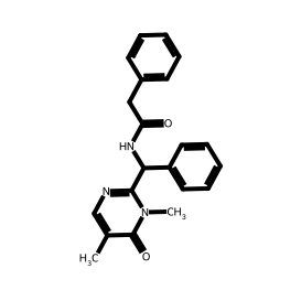 Cc1cnc(C(NC(=O)Cc2ccccc2)c2ccccc2)n(C)c1=O